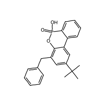 CC(C)(C)c1cc(Cc2ccccc2)c2c(c1)-c1ccccc1P(=O)(O)O2